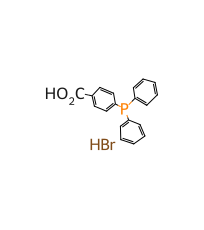 Br.O=C(O)c1ccc(P(c2ccccc2)c2ccccc2)cc1